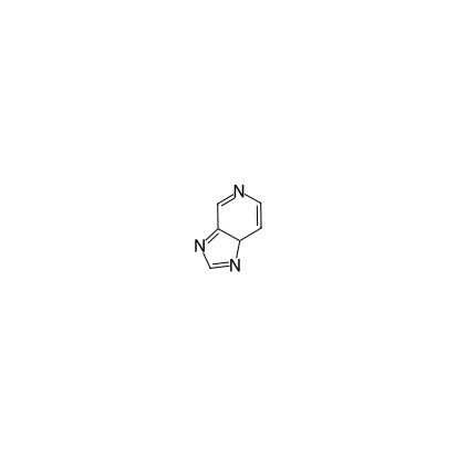 C1=CC2N=CN=C2C=N1